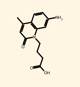 Cc1cc(=O)n(CCCC(=O)O)c2cc(N)ccc12